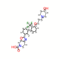 Cc1c(-c2nc3c(o2)CN(C(=O)O)CC3)cccc1-c1cccc(OCCCN2CCC(O)CC2)c1C(F)(F)F